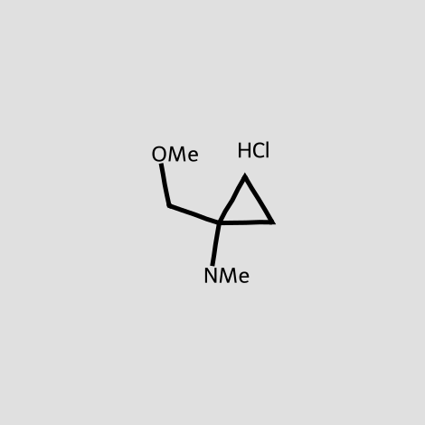 CNC1(COC)CC1.Cl